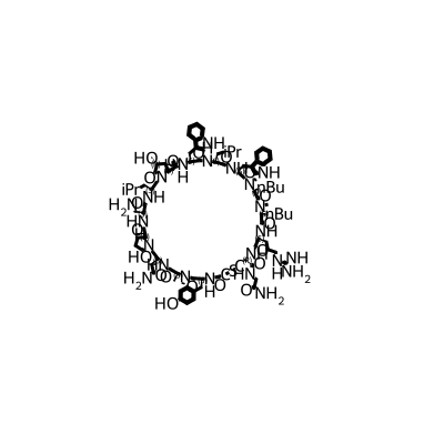 CCCC[C@H]1C(=O)N(C)[C@@H](CCCC)C(=O)N[C@@H](CCCNC(=N)N)C(=O)N[C@H](C(=O)NCC(N)=O)CSCC(=O)N[C@@H](Cc2ccc(O)cc2)C(=O)N(C)[C@@H](C)C(=O)N[C@@H](CC(N)=O)C(O)N2CCC[C@H]2C(=O)N[C@@H](CN)C(=O)N[C@@H](CC(C)C)C(=O)N2C[C@H](O)C[C@H]2C(=O)N[C@@H](Cc2c[nH]c3ccccc23)C(=O)N[C@@H](CC(C)C)C(=O)N[C@@H](Cc2c[nH]c3ccccc23)C(=O)N1C